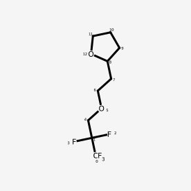 FC(F)(F)C(F)(F)COCCC1CCCO1